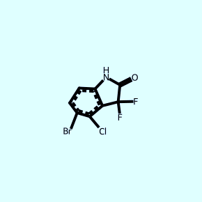 O=C1Nc2ccc(Br)c(Cl)c2C1(F)F